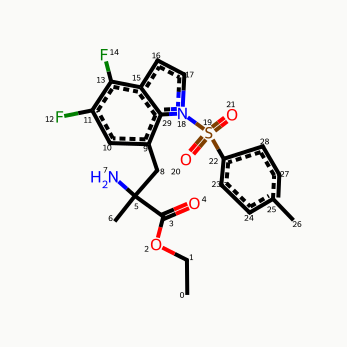 CCOC(=O)C(C)(N)Cc1cc(F)c(F)c2ccn(S(=O)(=O)c3ccc(C)cc3)c12